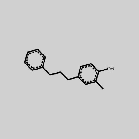 Cc1cc(CCCc2ccccc2)ccc1O